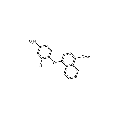 COc1ccc(Oc2ccc([N+](=O)[O-])cc2Cl)c2ccccc12